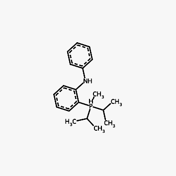 CC(C)[PH](C)(c1ccccc1Nc1ccccc1)C(C)C